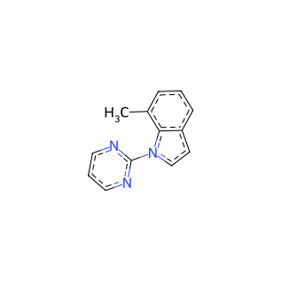 Cc1cccc2ccn(-c3ncccn3)c12